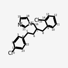 Clc1ccc(CCC(Cc2ccccc2Cl)Cn2ccnc2)cc1